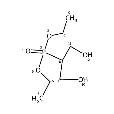 CCOP(=O)(OCC)C(CO)CO